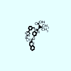 COc1ncc(-c2cccc(Cn3c([C@H]4[C@@H](C(=O)O)C4(C)C)nc4cc(OCc5ccc6ccccc6n5)ccc43)c2)cn1